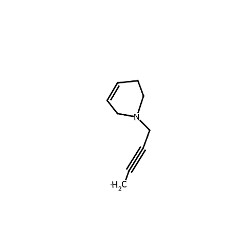 [CH2]C#CCN1CC=CCC1